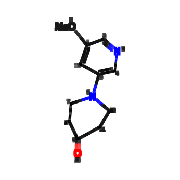 COc1cncc(N2CCC(=O)CC2)c1